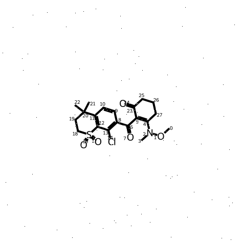 CON(C)C1=C(C(=O)c2ccc3c(c2Cl)S(=O)(=O)CCC3(C)C)C(=O)CCC1